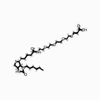 CCCCCCN1C(=O)NC2CS[C@@H](CCCCC(=O)NCCOCCOCCOCCOCCC(=O)O)C21